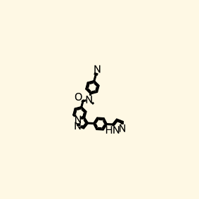 CN(C(=O)c1ccn2ncc(-c3ccc(-c4ccn[nH]4)cc3)c2c1)c1ccc(C#N)cc1